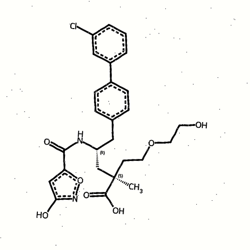 C[C@@](CCOCCO)(C[C@@H](Cc1ccc(-c2cccc(Cl)c2)cc1)NC(=O)c1cc(O)no1)C(=O)O